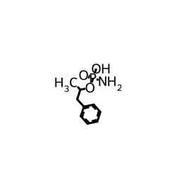 CC(Cc1ccccc1)OP(N)(=O)O